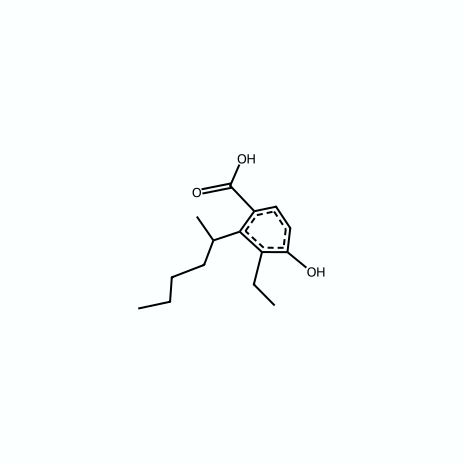 CCCCC(C)c1c(C(=O)O)ccc(O)c1CC